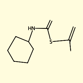 C=C(C)SC(=C)NC1CCCCC1